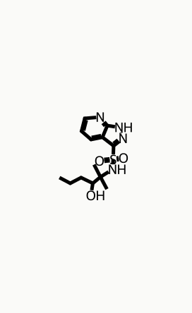 CCCC(O)C(C)(C)NS(=O)(=O)c1n[nH]c2ncccc12